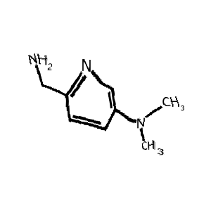 CN(C)c1ccc(CN)nc1